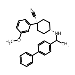 COc1cccc([C@]2(C#N)CC[C@@H](NC(C)c3ccc(-c4ccccc4)cc3)CC2)c1